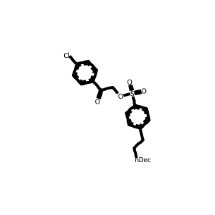 CCCCCCCCCCCCc1ccc(S(=O)(=O)OCC(=O)c2ccc(Cl)cc2)cc1